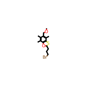 COCc1c(C)c(C)c2c(c1C)SC(CCCBr)O2